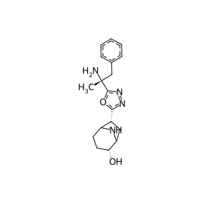 C[C@@](N)(Cc1ccccc1)c1nnc([C@@H]2CC3NC2CC[C@H]3O)o1